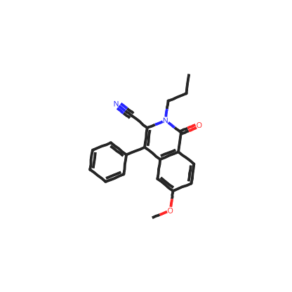 CCCn1c(C#N)c(-c2ccccc2)c2cc(OC)ccc2c1=O